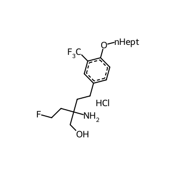 CCCCCCCOc1ccc(CCC(N)(CO)CCF)cc1C(F)(F)F.Cl